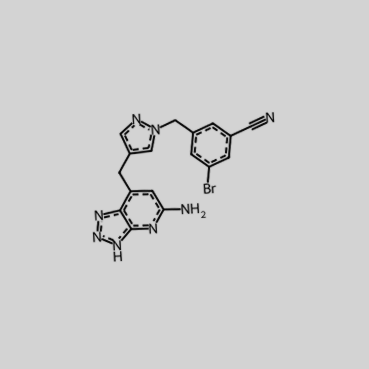 N#Cc1cc(Br)cc(Cn2cc(Cc3cc(N)nc4[nH]nnc34)cn2)c1